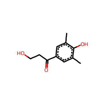 Cc1cc(C(=O)CCO)cc(C)c1O